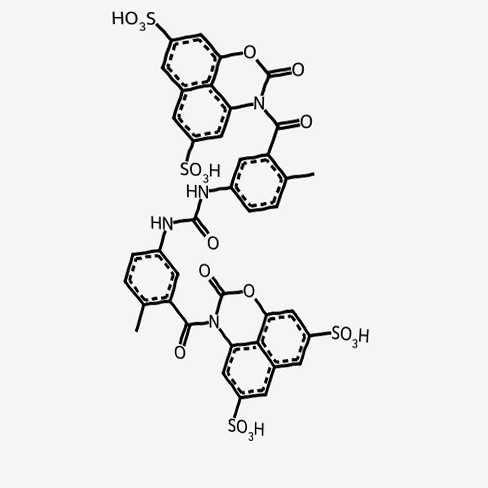 Cc1ccc(NC(=O)Nc2ccc(C)c(C(=O)N3C(=O)Oc4cc(S(=O)(=O)O)cc5cc(S(=O)(=O)O)cc3c45)c2)cc1C(=O)N1C(=O)Oc2cc(S(=O)(=O)O)cc3cc(S(=O)(=O)O)cc1c23